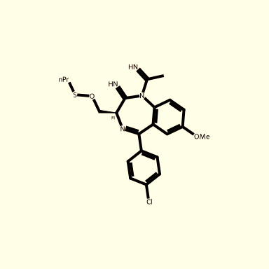 CCCSOC[C@@H]1N=C(c2ccc(Cl)cc2)c2cc(OC)ccc2N(C(C)=N)C1=N